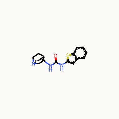 O=C(Nc1cc2ccccc2s1)NC1CN2CCC1CC2